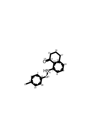 Cc1ccc(SNc2cccc3c2C(=O)CCC3)cc1